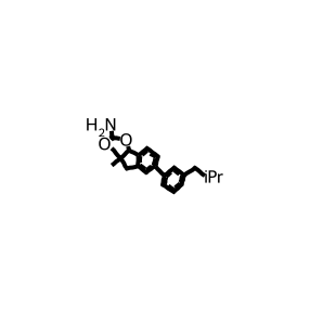 CC(C)Cc1cccc(-c2ccc3c(c2)CC(C)(C)C3OC(N)=O)c1